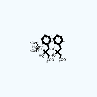 CCCCCCC[CH2][SnH2+4][CH2]CCCCCCC.O=C([O-])CC(O)(Cc1ccccc1)C(=O)[O-].O=C([O-])CC(O)(Cc1ccccc1)C(=O)[O-]